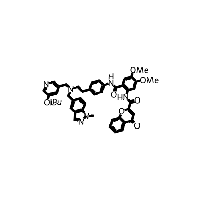 COc1cc(NC(=O)c2cc(=O)c3ccccc3o2)c(C(=O)Nc2ccc(CCN(Cc3cncc(OCC(C)C)c3)Cc3ccc4c(cnn4C)c3)cc2)cc1OC